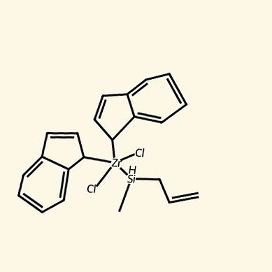 C=CC[SiH](C)[Zr]([Cl])([Cl])([CH]1C=Cc2ccccc21)[CH]1C=Cc2ccccc21